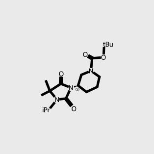 CC(C)N1C(=O)N([C@H]2CCCN(C(=O)OC(C)(C)C)C2)C(=O)C1(C)C